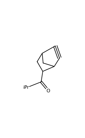 CC(C)C(=O)C1CC2C#CC1C2